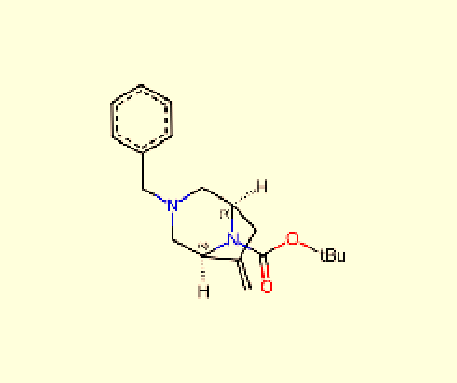 C=C1C[C@@H]2CN(Cc3ccccc3)C[C@H]1N2C(=O)OC(C)(C)C